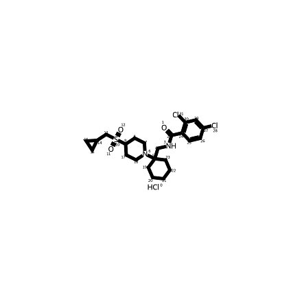 Cl.O=C(NCC1(N2CCC(S(=O)(=O)CC3CC3)CC2)CCCCC1)c1ccc(Cl)cc1Cl